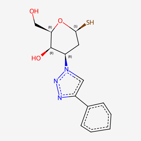 OC[C@H]1O[C@@H](S)C[C@@H](n2cc(-c3ccccc3)nn2)[C@H]1O